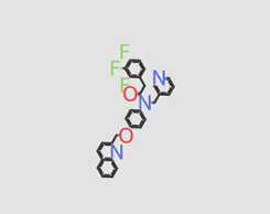 O=C(Cc1ccc(F)c(F)c1F)N(Cc1cccnc1)c1ccc(OCc2ccc3ccccc3n2)cc1